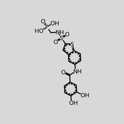 O=C(Nc1ccc2sc(S(=O)(=O)NCP(=O)(O)O)cc2c1)c1ccc(O)c(O)c1